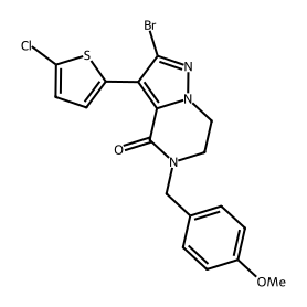 COc1ccc(CN2CCn3nc(Br)c(-c4ccc(Cl)s4)c3C2=O)cc1